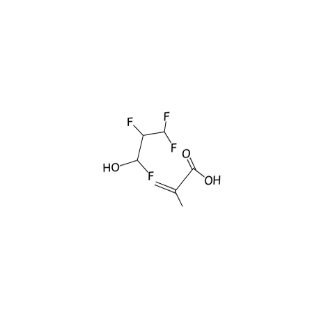 C=C(C)C(=O)O.OC(F)C(F)C(F)F